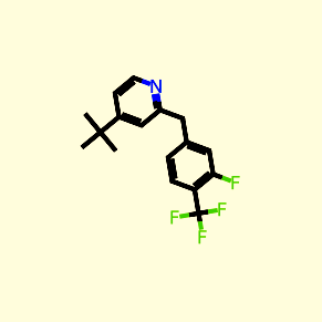 CC(C)(C)c1ccnc(Cc2ccc(C(F)(F)F)c(F)c2)c1